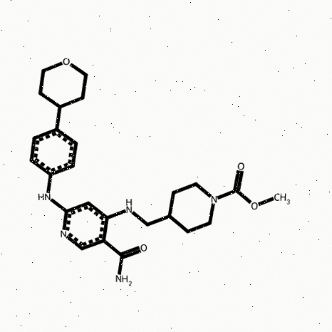 COC(=O)N1CCC(CNc2cc(Nc3ccc(C4CCOCC4)cc3)ncc2C(N)=O)CC1